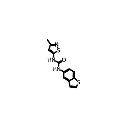 Cc1cc(NC(=O)Nc2ccc3sccc3c2)sn1